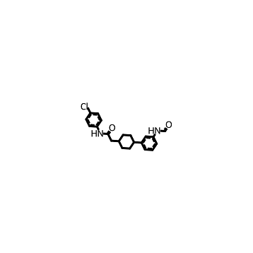 O=CNc1cccc(C2CCC(CC(=O)Nc3ccc(Cl)cc3)CC2)c1